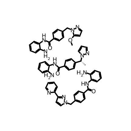 COc1ccnn1Cc1ccc(C(=O)Nc2ccccc2N)cc1.C[C@H](c1ccc(C(=O)Nc2ccccc2N)cc1)n1cccn1.Nc1ccccc1NC(=O)c1ccc(Cn2ccc(-c3ccccn3)n2)cc1